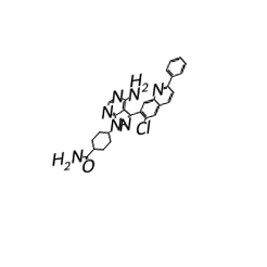 NC(=O)C1CCC(n2nc(-c3cc4nc(-c5ccccc5)ccc4cc3Cl)c3c(N)ncnc32)CC1